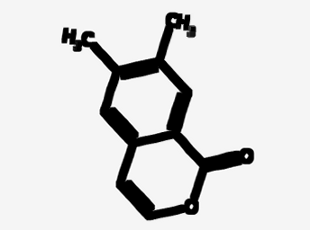 Cc1cc2ccoc(=O)c2cc1C